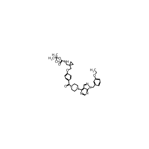 CCOc1cccc(Cn2ncc3c(N4CCN(C(=O)c5ccc(OCC6(CNC(=O)OC(C)(C)C)CC6)cc5)CC4)ncnc32)c1